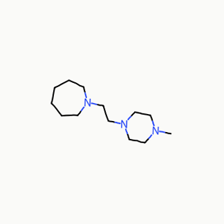 CN1CCN(CCN2CCCCCC2)CC1